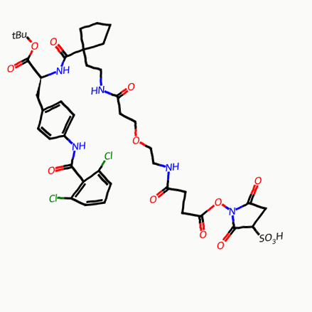 CC(C)(C)OC(=O)[C@H](Cc1ccc(NC(=O)c2c(Cl)cccc2Cl)cc1)NC(=O)C1(CCNC(=O)CCOCCNC(=O)CCC(=O)ON2C(=O)CC(S(=O)(=O)O)C2=O)CCCC1